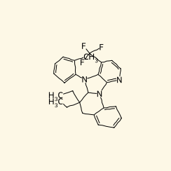 CCC1(CC)Cc2ccccc2N2c3nccc(C(F)(F)F)c3N(c3ccccc3C)C21